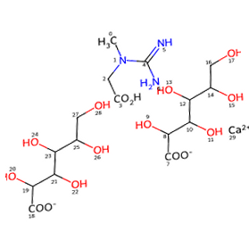 CN(CC(=O)O)C(=N)N.O=C([O-])C(O)C(O)C(O)C(O)CO.O=C([O-])C(O)C(O)C(O)C(O)CO.[Ca+2]